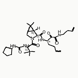 C=CCCNC(=O)C(=O)[C@@H](CCC=C)NC(=O)[C@@H]1[C@@H]2C(CN1C(=O)[C@@H](NC(=O)NC1CCCC1)C(C)(C)C)C2(C)C